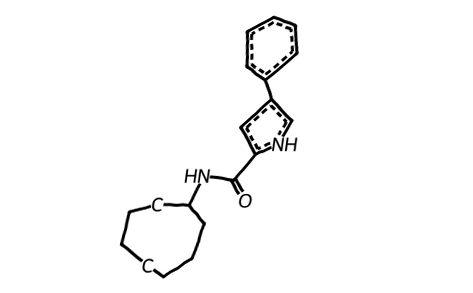 O=C(NC1CCCCCCC1)c1cc(-c2ccccc2)c[nH]1